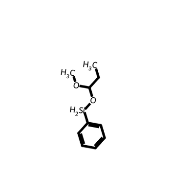 CCC(OC)O[SiH2]c1ccccc1